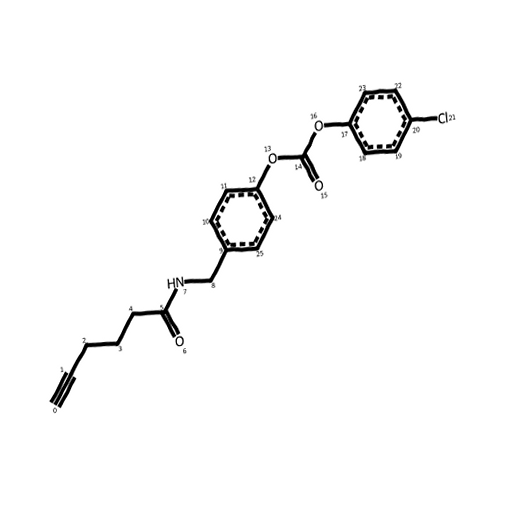 C#CCCCC(=O)NCc1ccc(OC(=O)Oc2ccc(Cl)cc2)cc1